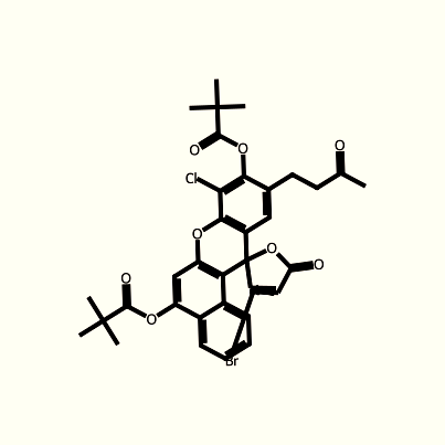 CC(=O)CCc1cc2c(c(Cl)c1OC(=O)C(C)(C)C)Oc1cc(OC(=O)C(C)(C)C)c3ccccc3c1C21OC(=O)c2ccc(Br)cc21